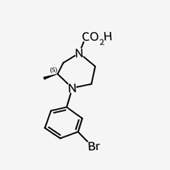 C[C@H]1CN(C(=O)O)CCN1c1cccc(Br)c1